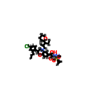 CCCc1cc(Cl)ccc1C1COc2ccc(C(O)C(=O)NS(=O)(=O)C3CC3)cc2N(CC(C)C(CC)C2CCCCO2)C1